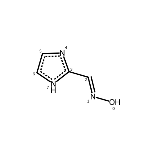 O/N=C/c1ncc[nH]1